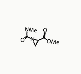 CNC(=O)N1CC1C(=O)OC